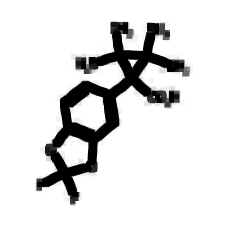 BC1(B)C(B)(B)C1(C(=O)O)c1ccc2c(c1)OC(F)(F)O2